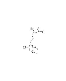 CCC(CC(F)(F)F)C(C)CCCC(CC(F)F)C(C)C